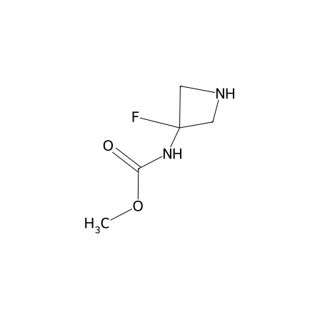 COC(=O)NC1(F)CNC1